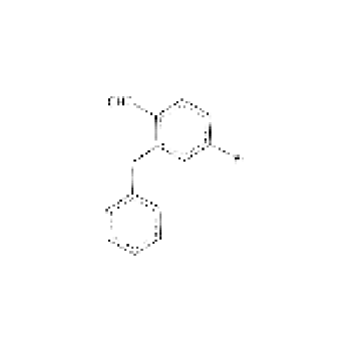 O=Cc1ccc(Br)cc1Cc1ccccc1